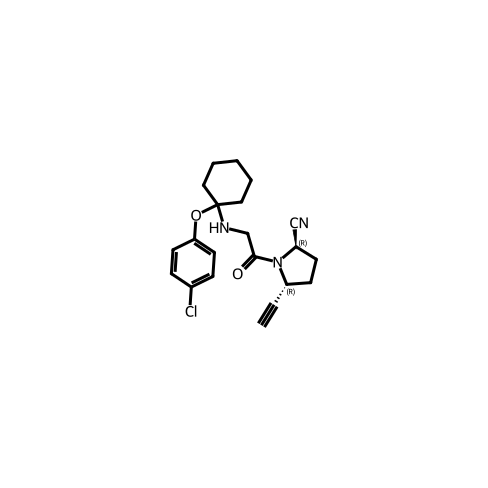 C#C[C@H]1CC[C@H](C#N)N1C(=O)CNC1(Oc2ccc(Cl)cc2)CCCCC1